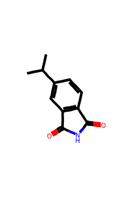 CC(C)c1ccc2c(c1)C(=O)NC2=O